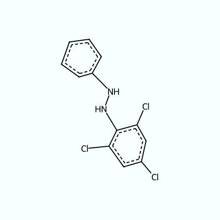 Clc1cc(Cl)c(NNc2ccccc2)c(Cl)c1